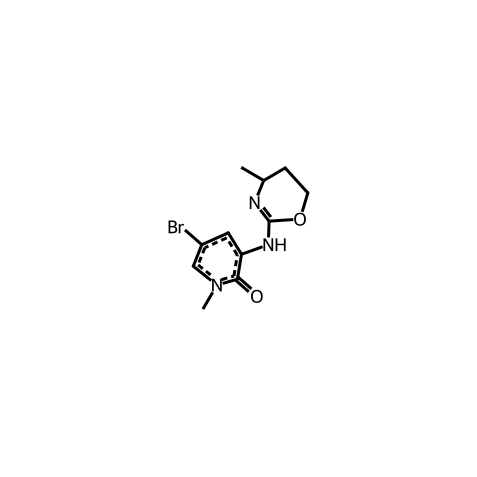 CC1CCOC(Nc2cc(Br)cn(C)c2=O)=N1